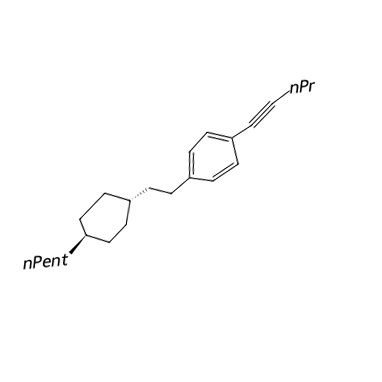 CCCC#Cc1ccc(CC[C@H]2CC[C@H](CCCCC)CC2)cc1